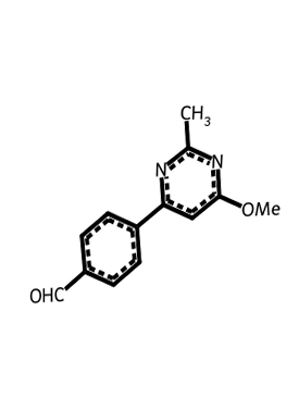 COc1cc(-c2ccc(C=O)cc2)nc(C)n1